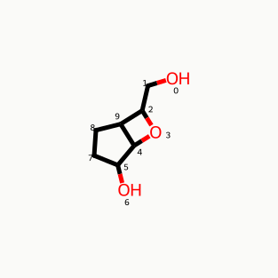 OCC1OC2C(O)CCC12